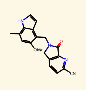 COc1cc(C)c2[nH]ccc2c1CN1Cc2ccc(C#N)nc2C1=O